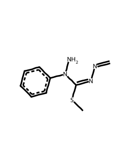 C=N/N=C(/SC)N(N)c1ccccc1